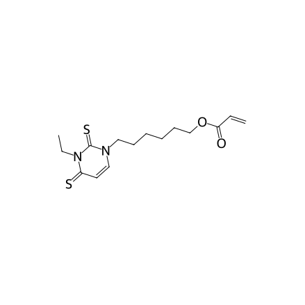 C=CC(=O)OCCCCCCn1ccc(=S)n(CC)c1=S